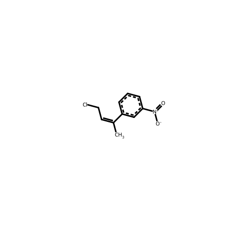 C/C(=C/CCl)c1cccc([N+](=O)[O-])c1